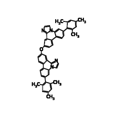 Cc1cc(C)c(-c2ccc3c4ccc(Oc5ccc6c7ccc(-c8c(C)cc(C)cc8C)cc7n7ccnc7c6c5)cc4c4nccn4c3c2)c(C)c1